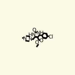 CCOC(=O)C1=C(CN2CCN(C)CC2)NC(=O)NC1C1C=CC(Cl)=CC1